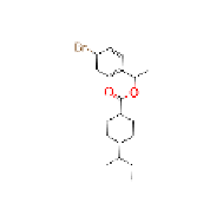 CCC(C)C1CCC(C(=O)OC(C)c2ccc(Br)cc2)CC1